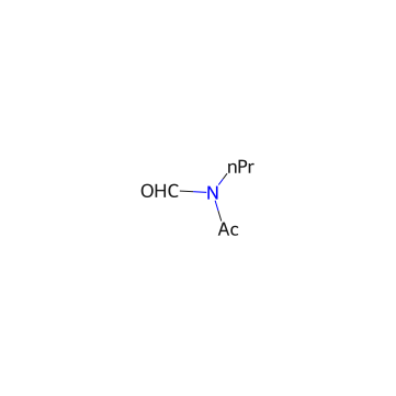 CCCN(C=O)C(C)=O